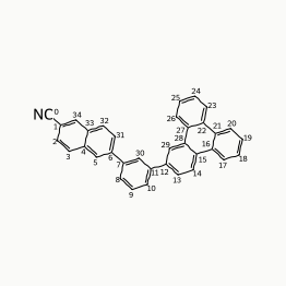 N#Cc1ccc2cc(-c3cccc(-c4ccc5c6ccccc6c6ccccc6c5c4)c3)ccc2c1